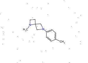 Cc1ccc(N2CC3(CCN3C)C2)cc1